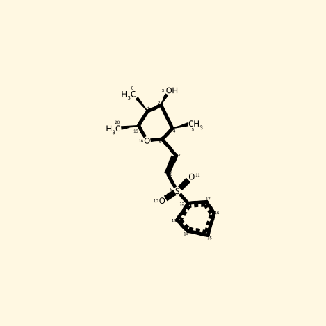 C[C@H]1[C@@H](O)[C@@H](C)C(/C=C/S(=O)(=O)c2ccccc2)O[C@H]1C